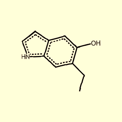 CCc1cc2[nH]ccc2cc1O